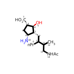 CCCC(C[C@H]1[C@H](O)[C@@H](C(=O)O)C[C@H]1N)C(C)CNC(C)=O